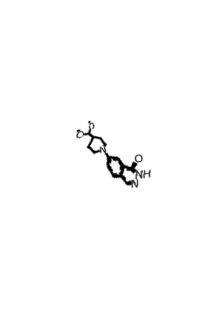 COC(OC)C1CCN(c2ccc3cn[nH]c(=O)c3c2)CC1